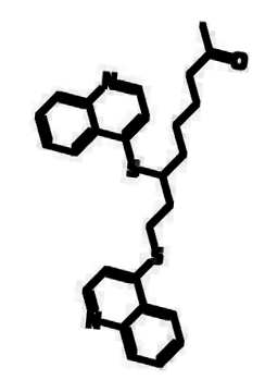 CC(=O)CCCCC(CCSc1ccnc2ccccc12)Sc1ccnc2ccccc12